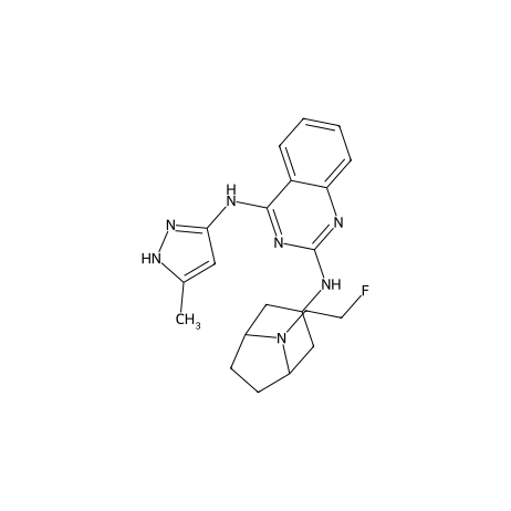 Cc1cc(Nc2nc(NC3CC4CCC(C3)N4CCF)nc3ccccc23)n[nH]1